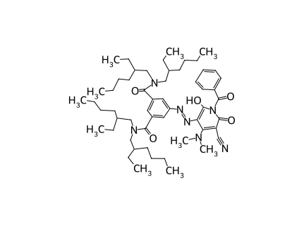 CCCCC(CC)CN(CC(CC)CCCC)C(=O)c1cc(/N=N/c2c(N(C)C)c(C#N)c(=O)n(C(=O)c3ccccc3)c2O)cc(C(=O)N(CC(CC)CCCC)CC(CC)CCCC)c1